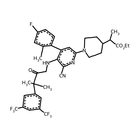 CCOC(=O)C(C)C1CCN(c2cc(-c3ccc(F)cc3C)c(NCC(=O)C(C)(C)c3cc(C(F)(F)F)cc(C(F)(F)F)c3)c(C#N)n2)CC1